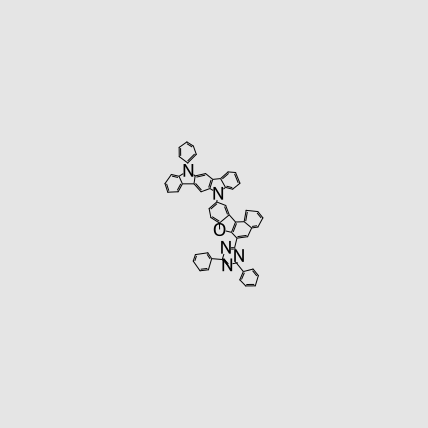 c1ccc(-c2nc(-c3ccccc3)nc(-c3cc4ccccc4c4c3oc3ccc(-n5c6ccccc6c6cc7c(cc65)c5ccccc5n7-c5ccccc5)cc34)n2)cc1